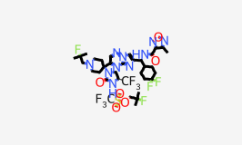 CC(C)(F)COS(=O)(=O)C(F)(F)F.Cc1nonc1C(=O)N[C@H](c1cn2ncc(C3(N4C[C@H](C(F)(F)F)NC4=O)CCN(CC(C)(C)F)CC3)nc2n1)C1CCC(F)(F)CC1